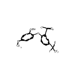 COc1cc(OC(F)(F)F)ccc1Oc1ccc(C(F)(F)C(F)(F)F)cc1C(=O)Cl